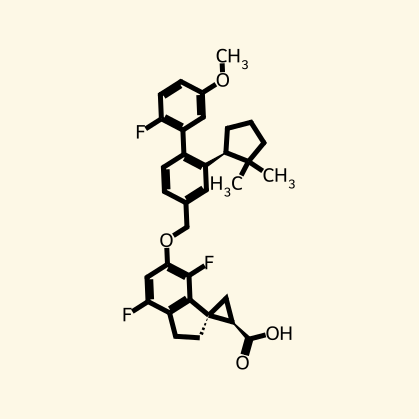 COc1ccc(F)c(-c2ccc(COc3cc(F)c4c(c3F)[C@@]3(CC4)C[C@H]3C(=O)O)cc2[C@H]2CCCC2(C)C)c1